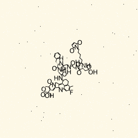 CC[C@@]1(O)C(=O)OCc2c1cc1n(c2=O)Cc2c-1nc1cc(F)c(C)c3c1c2C(NC(=O)CNC(=O)[C@H](Cc1ccccc1)NC(=O)CNC(=O)CNC(=O)[C@H](CC(=O)O)NC(=O)CCCCCN1C(=O)C=CC1=O)CC3